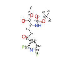 CCOC(=O)[C@@H](CCC(=O)c1ccc(F)nc1F)NC(=O)OC(C)(C)C